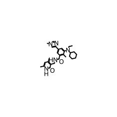 CCN(c1cc(-c2cn(C)cn2)cc(C(=O)NCc2c(C)cc(C)[nH]c2=O)c1C)C1CCCCC1